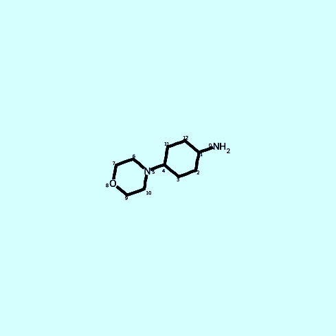 NC1CCC(N2CCOCC2)CC1